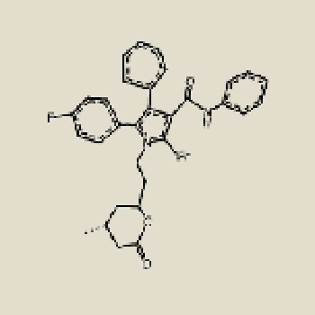 CC(C)c1c(C(=O)Nc2ccccc2)c(-c2ccccc2)c(-c2ccc(F)cc2)n1CC[C@@H]1C[C@@H](C)CC(=O)O1